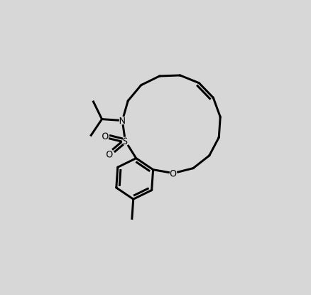 Cc1ccc2c(c1)OCCCCC=CCCCCN(C(C)C)S2(=O)=O